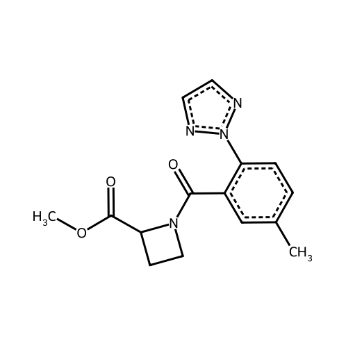 COC(=O)C1CCN1C(=O)c1cc(C)ccc1-n1nccn1